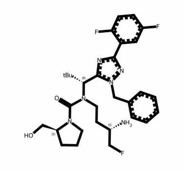 CC(C)(C)[C@H](c1nc(-c2cc(F)ccc2F)nn1Cc1ccccc1)N(CC[C@H](N)CF)C(=O)N1CCC[C@H]1CO